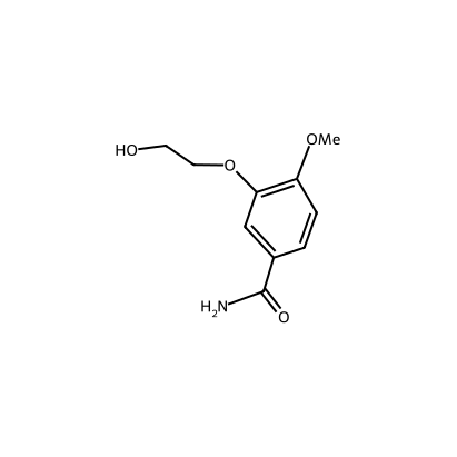 COc1ccc(C(N)=O)cc1OCCO